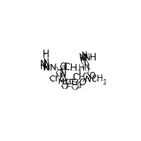 COc1nc(OCc2cccc(-c3cccc(COc4nc(OC)c(CNCc5nnn[nH]5)cc4Cl)c3C)c2C)c(Cl)cc1CNCc1nnn[nH]1